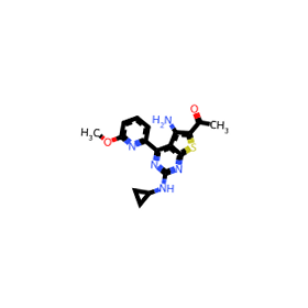 COc1cccc(-c2nc(NC3CC3)nc3sc(C(C)=O)c(N)c23)n1